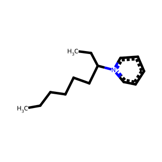 CCCCCCC(CC)[n+]1ccccc1